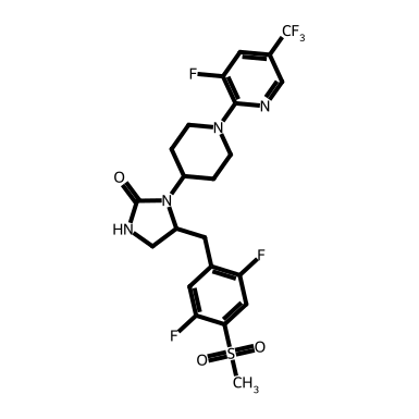 CS(=O)(=O)c1cc(F)c(CC2CNC(=O)N2C2CCN(c3ncc(C(F)(F)F)cc3F)CC2)cc1F